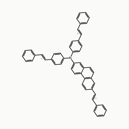 C(=C\c1ccc(N(c2ccc(/C=C/c3ccccc3)cc2)c2ccc3c(ccc4cc(/C=C/c5ccccc5)ccc43)c2)cc1)/c1ccccc1